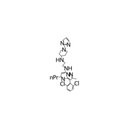 CCCc1cc(NCCNC2CCN(c3ncccn3)CC2)n2nc(C)c(-c3c(Cl)cccc3Cl)c2n1